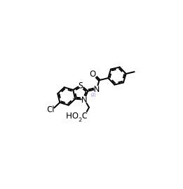 Cc1ccc(C(=O)/N=c2\sc3ccc(Cl)cc3n2CC(=O)O)cc1